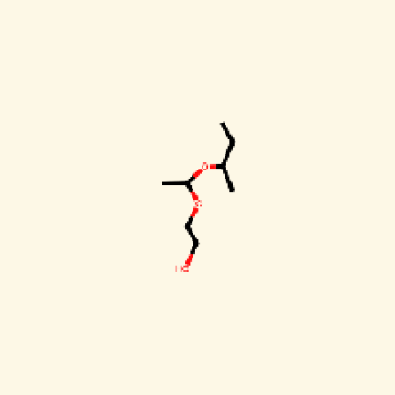 CCC(C)OC(C)OCCO